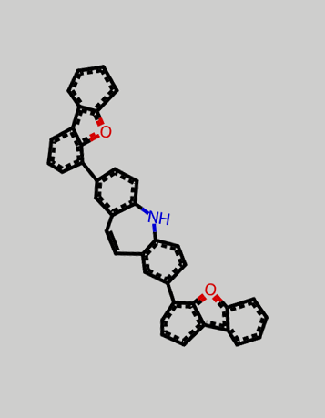 C1=Cc2cc(-c3cccc4c3oc3ccccc34)ccc2Nc2ccc(-c3cccc4c3oc3ccccc34)cc21